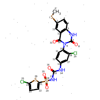 CSc1ccc2[nH]c(=O)n(-c3ccc(NC(=O)NS(=O)(=O)c4ccc(Cl)s4)cc3Cl)c(=O)c2c1